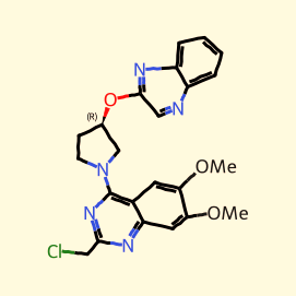 COc1cc2nc(CCl)nc(N3CC[C@@H](Oc4cnc5ccccc5n4)C3)c2cc1OC